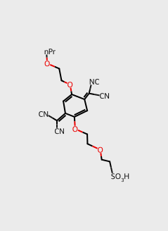 [C-]#[N+]/C(C#N)=c1/cc(OCCOCCS(=O)(=O)O)/c(=C(\C#N)[N+]#[C-])cc1OCCOCCC